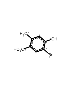 Cc1cc(O)c(Br)cc1C(=O)O